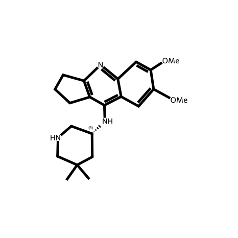 COc1cc2nc3c(c(N[C@H]4CNCC(C)(C)C4)c2cc1OC)CCC3